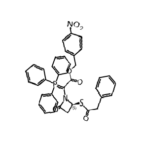 O=C(Cc1ccccc1)S[C@H]1CC(=O)N1C(C(=O)OCc1ccc([N+](=O)[O-])cc1)=P(c1ccccc1)(c1ccccc1)c1ccccc1